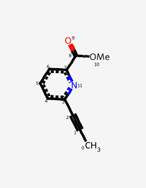 CC#Cc1cccc(C(=O)OC)n1